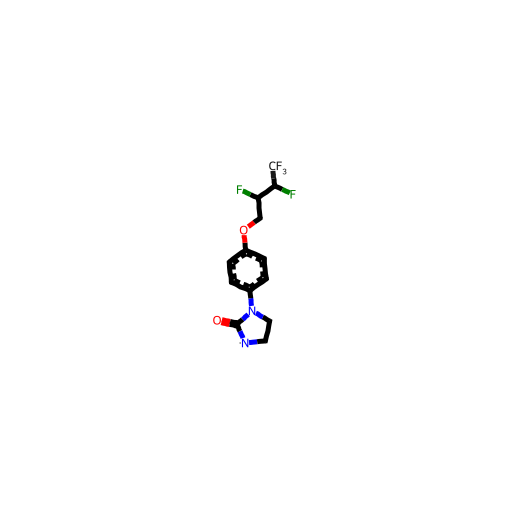 O=C1[N]CCN1c1ccc(OCC(F)C(F)C(F)(F)F)cc1